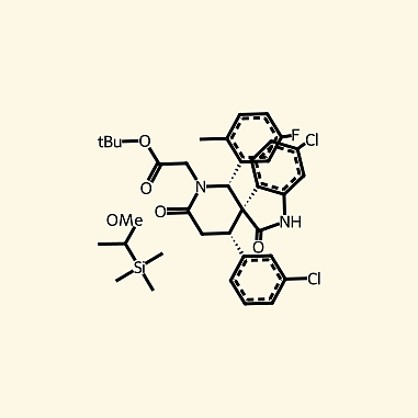 COC(C)[Si](C)(C)C.Cc1ccc(F)cc1[C@H]1N(CC(=O)OC(C)(C)C)C(=O)C[C@@H](c2cccc(Cl)c2)[C@]12C(=O)Nc1cc(Cl)ccc12